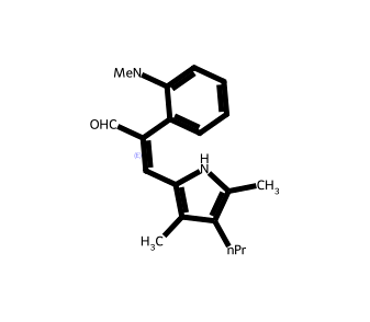 CCCc1c(C)[nH]c(/C=C(/C=O)c2ccccc2NC)c1C